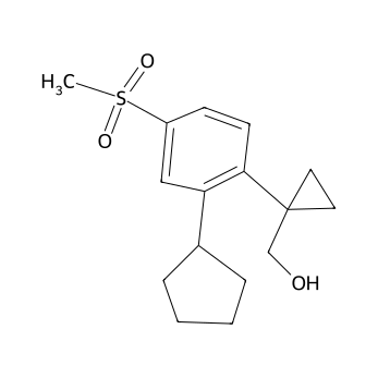 CS(=O)(=O)c1ccc(C2(CO)CC2)c(C2CCCC2)c1